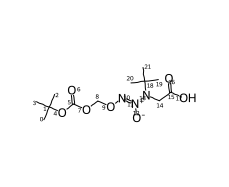 CC(C)(C)OC(=O)OCO/N=[N+](\[O-])N(CC(=O)O)C(C)(C)C